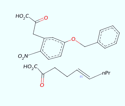 CCC/C=C/CCC(=O)C(=O)O.O=C(O)C(=O)Cc1cc(OCc2ccccc2)ccc1[N+](=O)[O-]